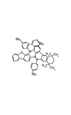 CC(C)(C)c1ccc(N2B3c4ccc5c(sc6ccccc65)c4N(c4ccc(C(C)(C)C)cc4-c4ccccc4)c4cc(C(C)(C)C)cc(c43)-c3cc4c(cc32)C(C)(C)CCC4(C)C)cc1